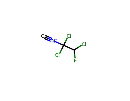 [C-]#[N+]C(Cl)(Cl)C(F)Cl